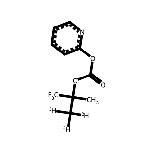 [2H]C([2H])([2H])C(C)(OC(=O)Oc1ccccn1)C(F)(F)F